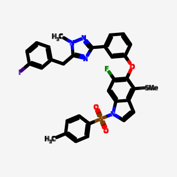 CSc1c(Oc2cccc(-c3nc(Cc4cccc(I)c4)n(C)n3)c2)c(F)cc2c1ccn2S(=O)(=O)c1ccc(C)cc1